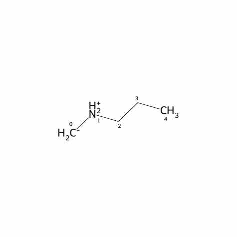 [CH2-][NH2+]CCC